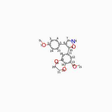 COc1ccc(-c2cnoc2-c2cc(OC)c3c(c2)OCCO3)cc1